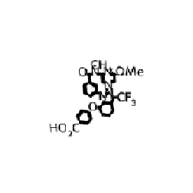 COc1cncc(N(C)C(=O)c2cccc(-n3nc(C(F)(F)F)c4c3C(Oc3ccc(C(=O)O)cc3)CCC4)c2)n1